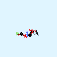 CC(C)O[C@@H](Cc1cccc(CNC(=O)OCc2cccc(OC(F)(F)F)c2)c1)C(=O)O